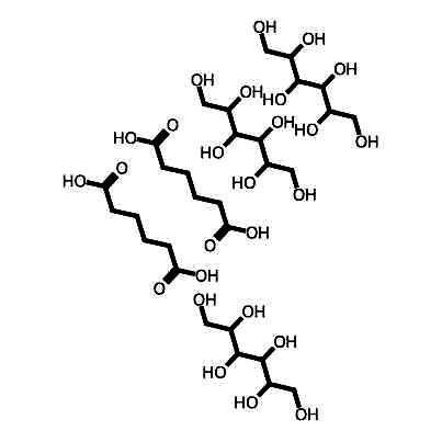 O=C(O)CCCCC(=O)O.O=C(O)CCCCC(=O)O.OCC(O)C(O)C(O)C(O)CO.OCC(O)C(O)C(O)C(O)CO.OCC(O)C(O)C(O)C(O)CO